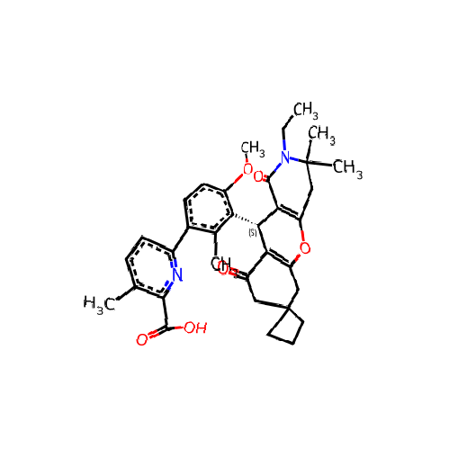 CCN1C(=O)C2=C(CC1(C)C)OC1=C(C(=O)CC3(CCC3)C1)[C@@H]2c1c(OC)ccc(-c2ccc(C)c(C(=O)O)n2)c1C